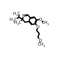 COCCCOc1cc2c(cc1OC)C=NC(C)(C(C)C)C2